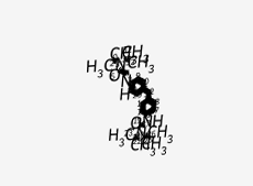 CC(C)N(C(=O)CNc1ccc(Cc2ccc(NC(=O)N(C(C)C)C(C)C)cc2)cc1)C(C)C